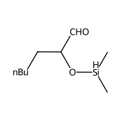 CCCCCC(C=O)O[SiH](C)C